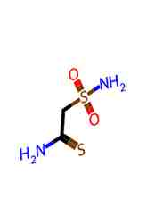 NC(=S)CS(N)(=O)=O